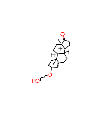 C[C@]12CC[C@H](OCCO)C=C1CC[C@@H]1[C@@H]2CC[C@]2(C)C(=O)CC[C@@H]12